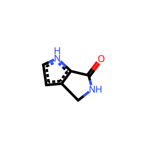 O=C1NCc2cc[nH]c21